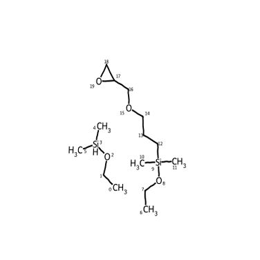 CCO[SiH](C)C.CCO[Si](C)(C)CCCOCC1CO1